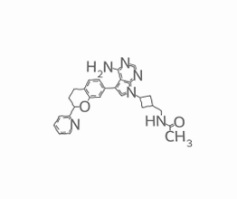 CC(=O)NCC1CC(n2cc(-c3ccc4c(c3)OC(c3ccccn3)CC4)c3c(N)ncnc32)C1